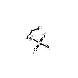 FCF.O=S(=O)(Br)Br